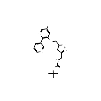 CC(C)(C)OC(=O)NCC1=NOC(COc2cc(Cl)cnc2-c2cccnc2)C1